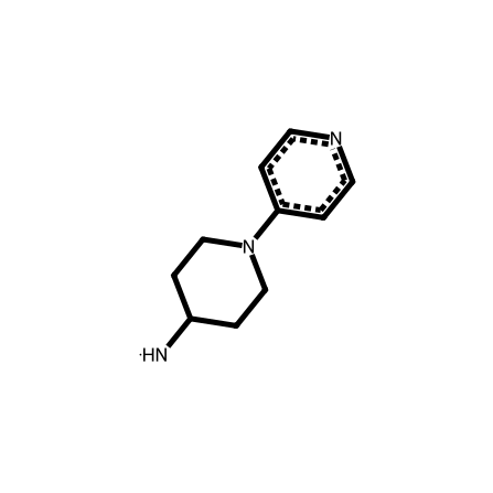 [NH]C1CCN(c2ccncc2)CC1